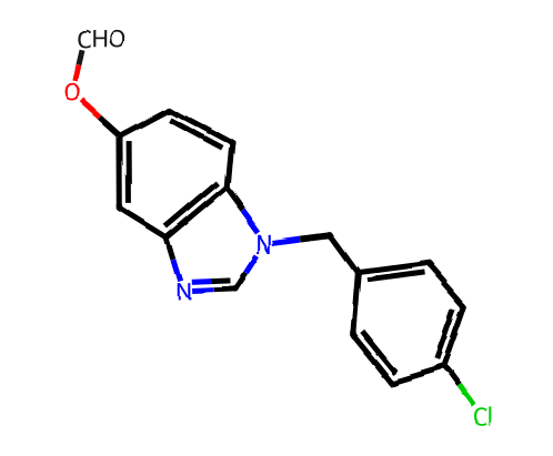 O=COc1ccc2c(c1)ncn2Cc1ccc(Cl)cc1